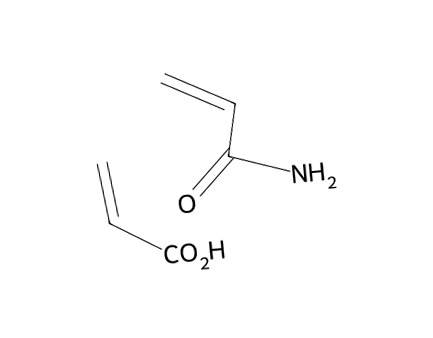 C=CC(=O)O.C=CC(N)=O